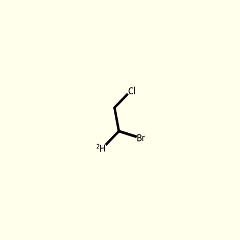 [2H]C(Br)CCl